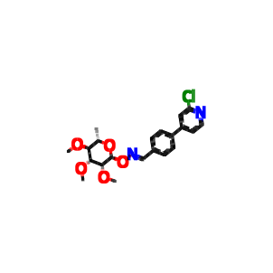 CO[C@@H]1[C@@H](OC)[C@H](C)O[C@@H](ON=Cc2ccc(-c3ccnc(Cl)c3)cc2)[C@@H]1OC